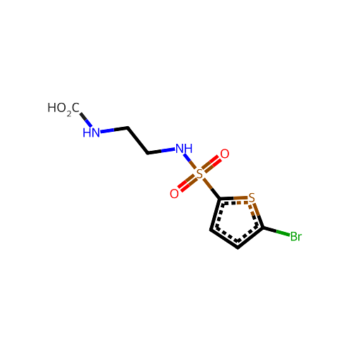 O=C(O)NCCNS(=O)(=O)c1ccc(Br)s1